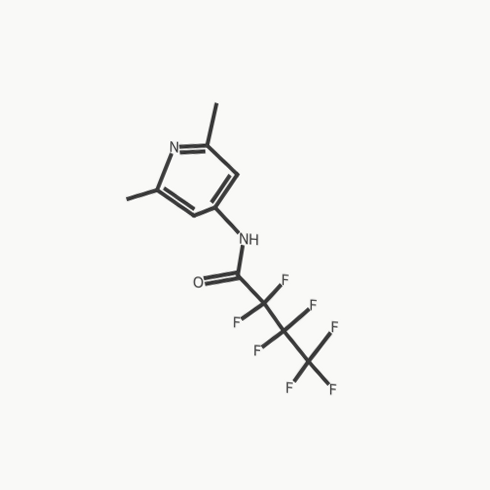 Cc1cc(NC(=O)C(F)(F)C(F)(F)C(F)(F)F)cc(C)n1